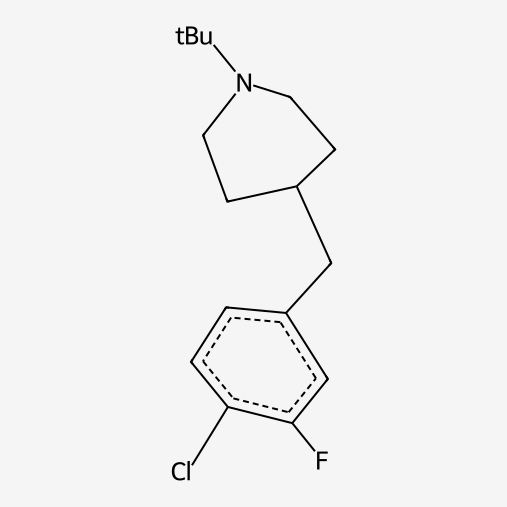 CC(C)(C)N1CCC(Cc2ccc(Cl)c(F)c2)CC1